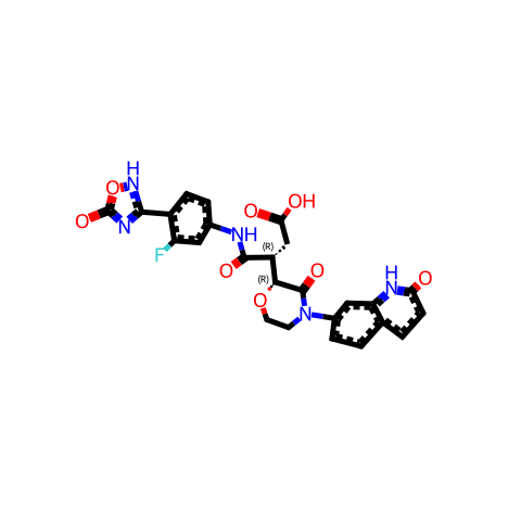 O=C(O)C[C@@H](C(=O)Nc1ccc(-c2nc(=O)o[nH]2)c(F)c1)[C@H]1OCCN(c2ccc3ccc(=O)[nH]c3c2)C1=O